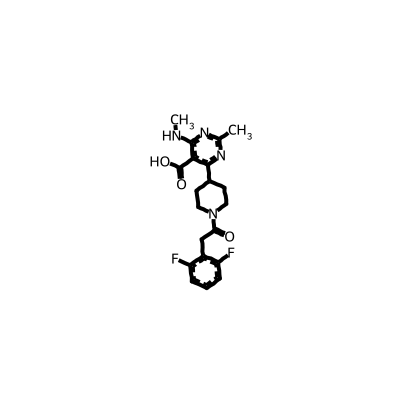 CNc1nc(C)nc(C2CCN(C(=O)Cc3c(F)cccc3F)CC2)c1C(=O)O